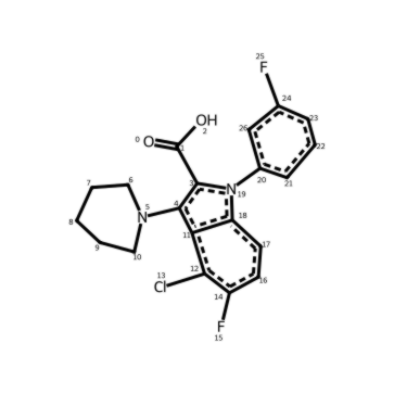 O=C(O)c1c(N2CCCCC2)c2c(Cl)c(F)ccc2n1-c1cccc(F)c1